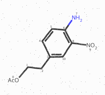 CC(=O)OCCc1ccc(N)c([N+](=O)[O-])c1